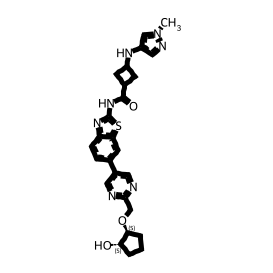 Cn1cc(NC2CC(C(=O)Nc3nc4ccc(-c5cnc(CO[C@H]6CCC[C@@H]6O)nc5)cc4s3)C2)cn1